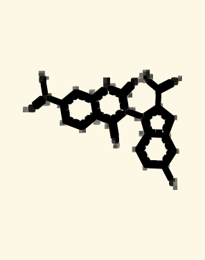 NC(=O)c1cc2cc(Cl)ccc2n1-n1c(=O)[nH]c2cc([N+](=O)[O-])ccc2c1=O